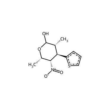 C[C@@H]1OC(O)[C@H](C)[C@@H](c2cccs2)[C@@H]1[N+](=O)[O-]